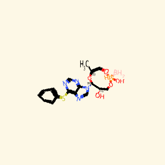 B[PH]1(O)OC[C@H](C)O[C@@H](n2cnc3c(Sc4ccccc4)ncnc32)[C@@H](O)CO1